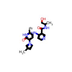 Cc1ccn(-c2cc(Nc3ccncc3C(=O)NC(C)CO)c(C(C)C)[nH]c2=O)c1